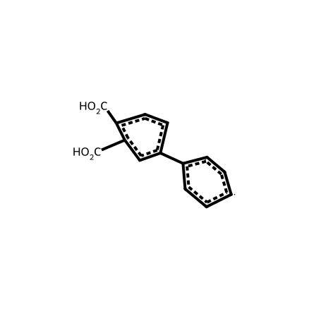 O=C(O)c1ccc(-c2cc[c]cc2)cc1C(=O)O